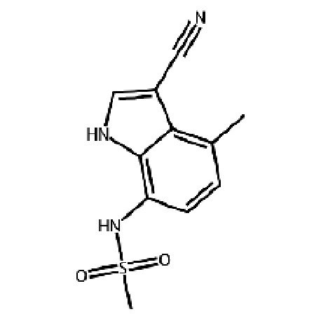 Cc1ccc(NS(C)(=O)=O)c2[nH]cc(C#N)c12